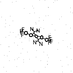 N#CC(C#N)=C1c2cc(-c3ccc(C(F)(F)F)c(F)c3)ccc2-c2cc3c(cc21)-c1ccc(-c2ccc(C(F)(F)F)c(F)c2)cc1C3=C(C#N)C#N